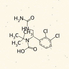 CC(C)(C)N(C(=O)O)C(CNC(N)=O)c1cccc(Cl)c1Cl